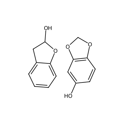 OC1Cc2ccccc2O1.Oc1ccc2c(c1)OCO2